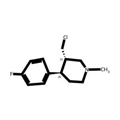 CN1CC[C@@H](c2ccc(F)cc2)[C@H](CCl)C1